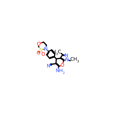 CCn1nc(C)c2c1OC(N)=C(C#N)C2c1ccc(N2CCOCS2(=O)=O)cc1